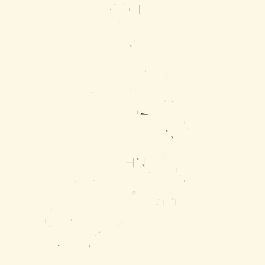 CCC[C@@H](NC(=O)N1C(=O)C(CC)(CC)[C@@H]1Oc1ccc(CC(=O)O)cc1)c1ccc2c(c1)OCO2